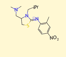 Cc1cc([N+](=O)[O-])ccc1/N=C1\SCC(CN(C)C)N1CC(C)C